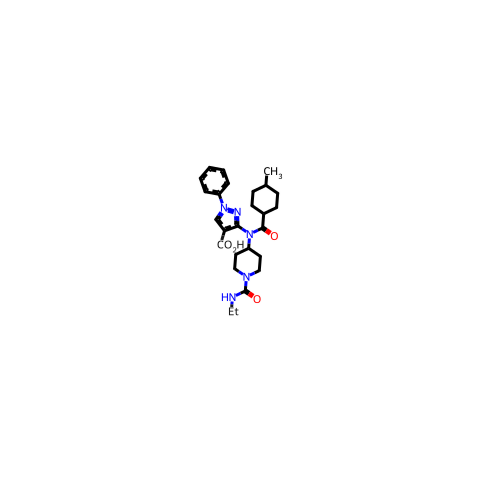 CCNC(=O)N1CCC(N(C(=O)C2CCC(C)CC2)c2nn(-c3ccccc3)cc2C(=O)O)CC1